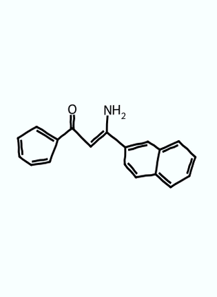 N/C(=C\C(=O)c1ccccc1)c1ccc2ccccc2c1